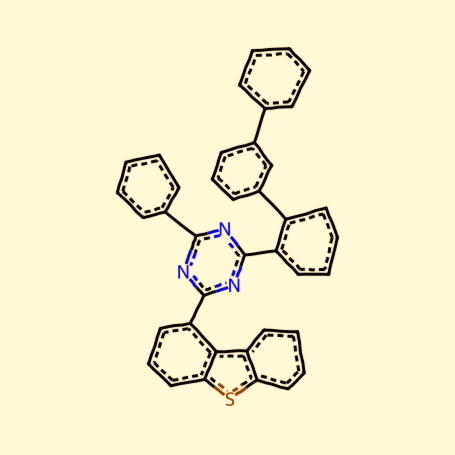 c1ccc(-c2cccc(-c3ccccc3-c3nc(-c4ccccc4)nc(-c4cccc5sc6ccccc6c45)n3)c2)cc1